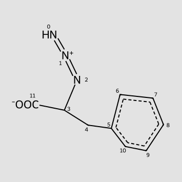 N=[N+]=NC(Cc1ccccc1)C(=O)[O-]